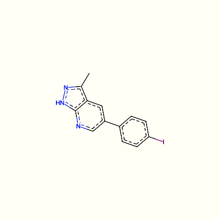 Cc1n[nH]c2ncc(-c3ccc(I)cc3)cc12